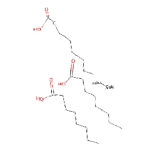 CCCCCCCC(=O)O.CCCCCCCC(=O)O.CCCCCCCC(=O)O.CCC[CH2][SnH]